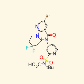 CC(C)(C)N(C(=O)O)S(=O)(=O)c1cc(NC(=O)c2cc(Br)cnc2N2CCC(F)(F)CC2)ccn1